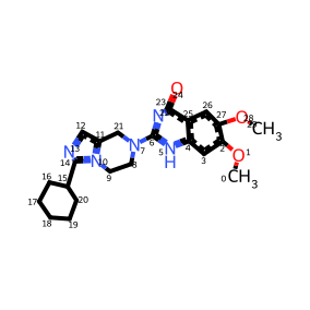 COc1cc2[nH]c(N3CCn4c(cnc4C4CCCCC4)C3)nc(=O)c2cc1OC